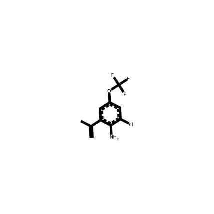 C=C(C)c1cc(OC(F)(F)F)cc(Cl)c1N